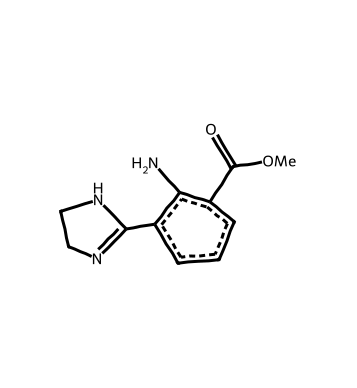 COC(=O)c1cccc(C2=NCCN2)c1N